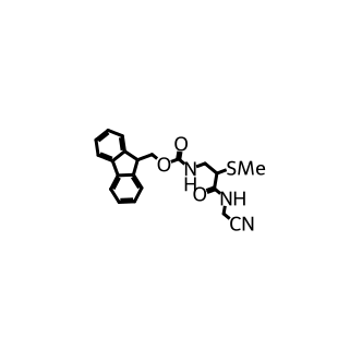 CSC(CNC(=O)OCC1c2ccccc2-c2ccccc21)C(=O)NCC#N